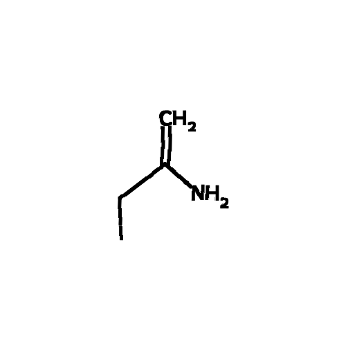 C=C(N)CI